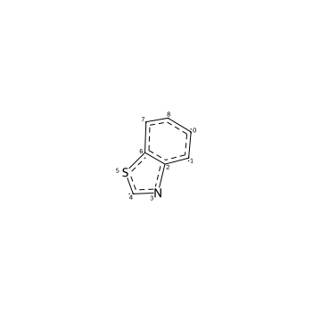 [c]1[c]c2n[c]sc2cc1